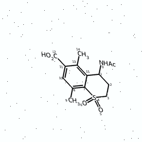 CC(=O)NC1CCS(=O)(=O)c2c(C)cc(C(=O)O)c(C)c21